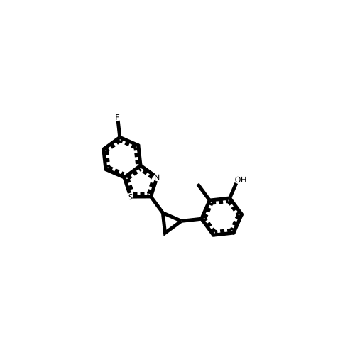 Cc1c(O)cccc1C1CC1c1nc2cc(F)ccc2s1